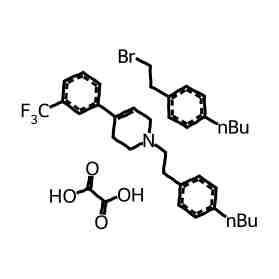 CCCCc1ccc(CCBr)cc1.CCCCc1ccc(CCN2CC=C(c3cccc(C(F)(F)F)c3)CC2)cc1.O=C(O)C(=O)O